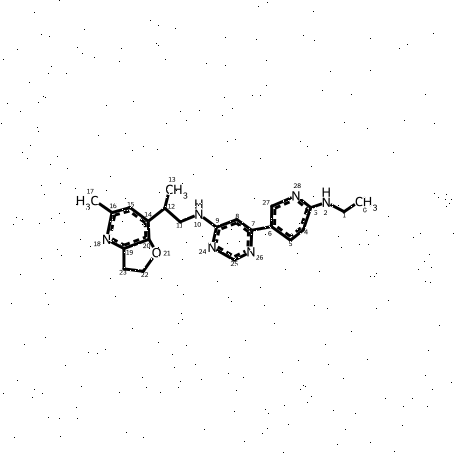 CCNc1ccc(-c2cc(NCC(C)c3cc(C)nc4c3OCC4)ncn2)cn1